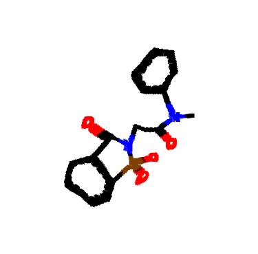 CN(C(=O)CN1C(=O)c2ccccc2S1(=O)=O)c1ccccc1